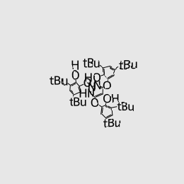 CC(C)(C)c1cc(OC2=CC(Oc3cc(C(C)(C)C)cc(C(C)(C)C)c3O)=NN(Oc3cc(C(C)(C)C)cc(C(C)(C)C)c3O)N2)c(O)c(C(C)(C)C)c1